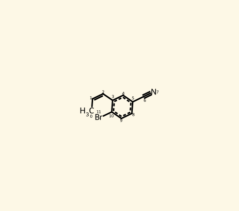 C/C=C\c1cc(C#N)ccc1Br